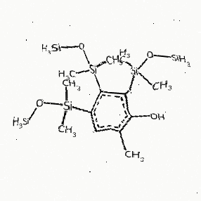 Cc1[c]c([Si](C)(C)O[SiH3])c([Si](C)(C)O[SiH3])c([Si](C)(C)O[SiH3])c1O